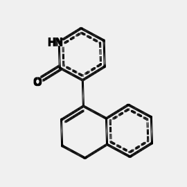 O=c1[nH]cccc1C1=CCCc2ccccc21